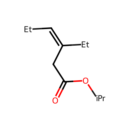 CCC=C(CC)CC(=O)OC(C)C